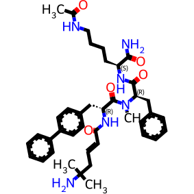 CC(=O)NCCCC[C@H](NC(=O)[C@@H](Cc1ccccc1)N(C)C(=O)[C@@H](Cc1ccc(-c2ccccc2)cc1)NC(=O)C=CCC(C)(C)N)C(N)=O